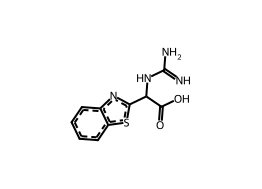 N=C(N)NC(C(=O)O)c1nc2ccccc2s1